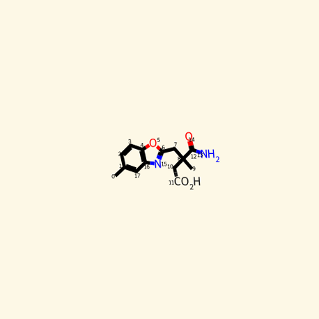 Cc1ccc2oc(CC(C)(CC(=O)O)C(N)=O)nc2c1